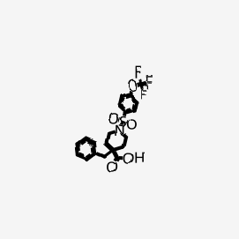 O=C(O)C1(Cc2ccccc2)CCN(S(=O)(=O)c2ccc(OC(F)(F)F)cc2)CC1